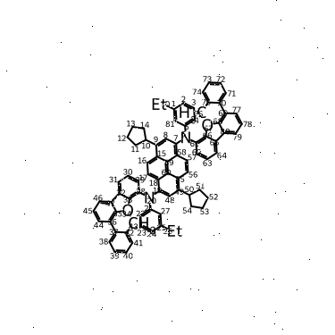 CCc1cccc(N(c2cc(C3CCCC3)c3ccc4c(N(c5cccc(CC)c5)c5cccc6c5oc5c(-c7ccccc7C)cccc56)cc(C5CCCC5)c5ccc2c3c54)c2cccc3c2oc2c(-c4ccccc4C)cccc23)c1